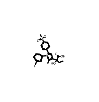 CCC(O)(C(=O)O)c1cc(-c2ccc(S(C)(=O)=O)cc2)n(-c2cccc(F)c2)c1C